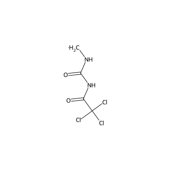 [CH2]NC(=O)NC(=O)C(Cl)(Cl)Cl